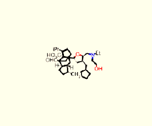 CCN(CCO)C[C@@H]1O[C@@H](C23C[C@@H]4[C@H](C)CC[C@H]4C4(C=O)CC2C=C(C(C)C)[C@]43C(=O)O)C[C@@H]1CC1CCCC1